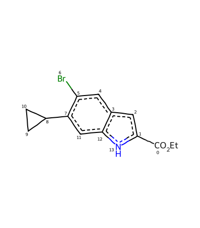 CCOC(=O)c1cc2cc(Br)c(C3CC3)cc2[nH]1